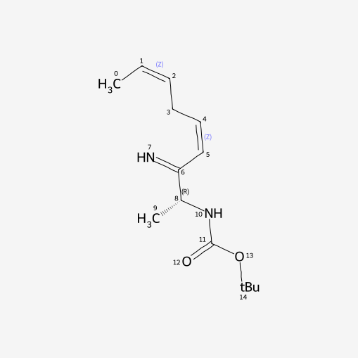 C/C=C\C/C=C\C(=N)[C@@H](C)NC(=O)OC(C)(C)C